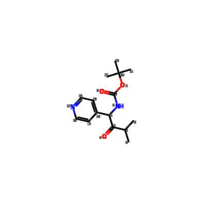 CC(C)C(=O)C(NC(=O)OC(C)(C)C)c1ccncc1